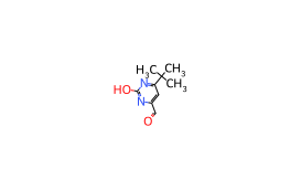 CC(C)(C)c1cc(C=O)nc(O)n1